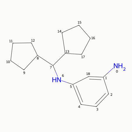 Nc1cccc(NC(C2CCCC2)C2CCCC2)c1